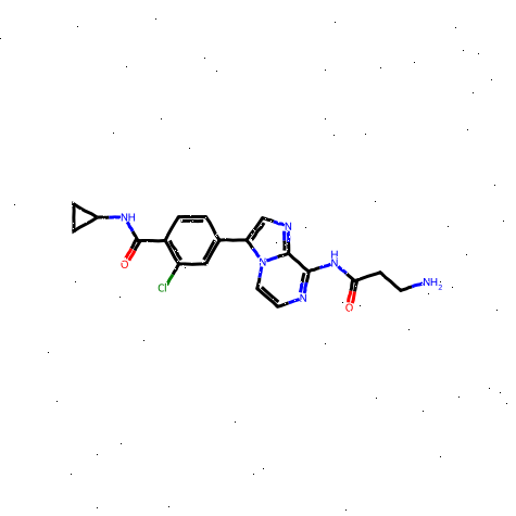 NCCC(=O)Nc1nccn2c(-c3ccc(C(=O)NC4CC4)c(Cl)c3)cnc12